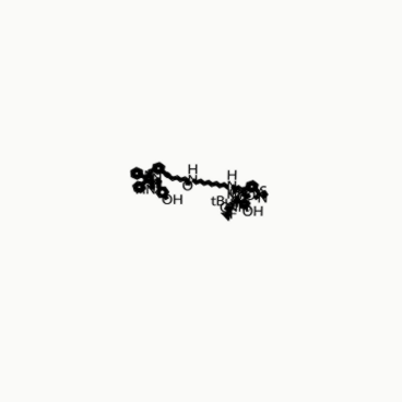 Cc1ncsc1-c1cccc([C@H](CC(=O)NCCCCCCCCCNC(=O)CCCCC#Cc2cccc(Cn3c(-c4ccccc4)c(-c4ccccc4)c4c(=N)n(C5CCC(O)CC5)cnc43)c2)NC(=O)[C@@H]2C[C@@H](O)CN2C(=O)C(NC(=O)C2(F)CC2)C(C)(C)C)c1